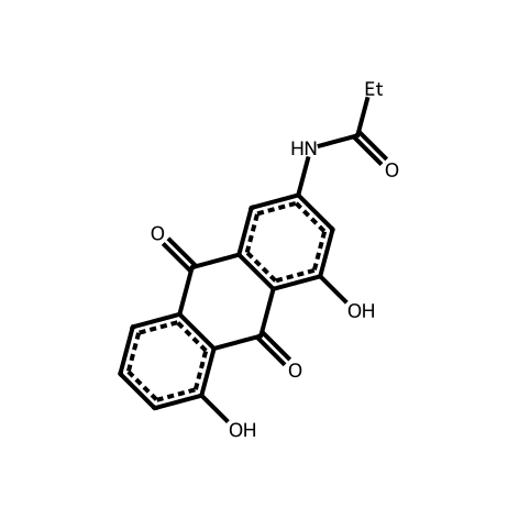 CCC(=O)Nc1cc(O)c2c(c1)C(=O)c1cccc(O)c1C2=O